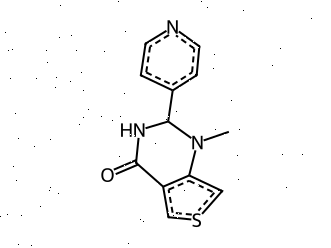 CN1c2cscc2C(=O)NC1c1ccncc1